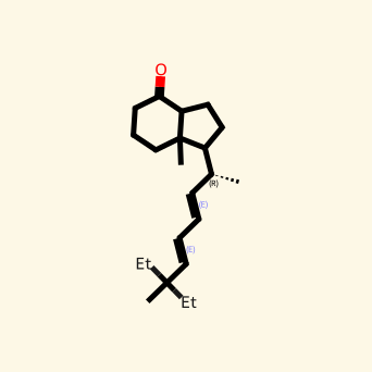 CCC(C)(/C=C/C=C/[C@@H](C)C1CCC2C(=O)CCCC21C)CC